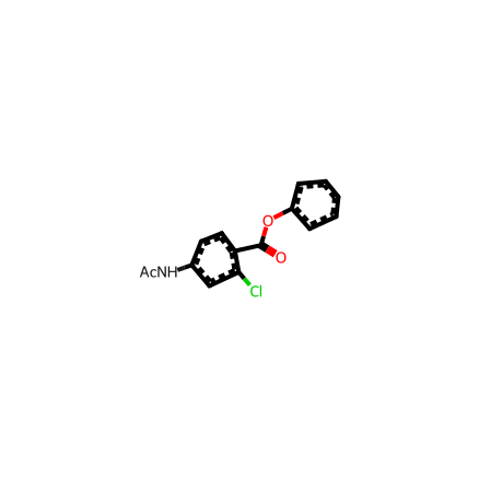 CC(=O)Nc1ccc(C(=O)Oc2ccccc2)c(Cl)c1